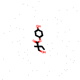 CCC(C)(CO)C(=O)OC1CCC(O)CC1